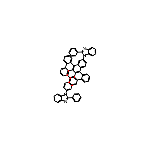 c1ccc(-c2ccccc2-c2c3ccc(-n4c(-c5ccccc5)nc5ccccc54)cc3c(-c3ccccc3-c3ccccc3)c3ccc(-c4ccc(-n5c(-c6ccccc6)nc6ccccc65)cc4)cc23)cc1